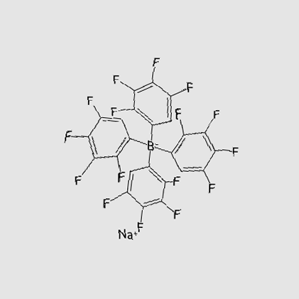 Fc1cc([B-](c2cc(F)c(F)c(F)c2F)(c2cc(F)c(F)c(F)c2F)c2cc(F)c(F)c(F)c2F)c(F)c(F)c1F.[Na+]